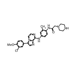 COc1ccc(-c2cnc3c(Nc4ccc(NC(=O)CN5CCNCC5)c(C)c4)nccn23)cc1Cl